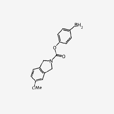 Bc1ccc(OC(=O)N2Cc3ccc(OC)cc3C2)cc1